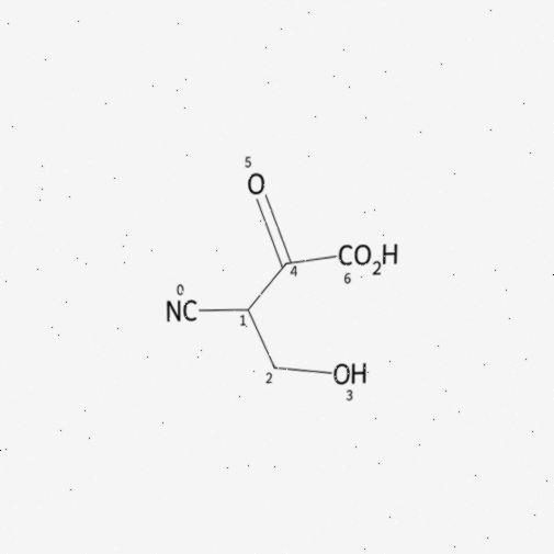 N#CC(CO)C(=O)C(=O)O